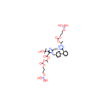 CCCc1nc(C(C)(C)O)c(C(=O)OC(C)OC(=O)OCCCON(O)O)n1Cc1ccc(-c2ccccc2-c2nnn(C(C)OC(=O)OCCCON(O)O)n2)cc1